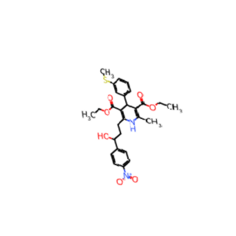 CCOC(=O)C1=C(C)NC(CCC(O)c2ccc([N+](=O)[O-])cc2)=C(C(=O)OCC)C1c1cccc(SC)c1